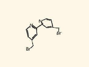 BrCc1ccnc(-c2cc(CBr)ccn2)c1